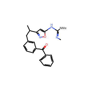 CN=C(NC)Nc1cc(C(C)Cc2cccc(C(=O)c3ccccc3)c2)no1